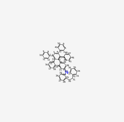 c1ccc(-c2cc(-c3ccccc3)c3c4ccccc4c4cc(N5c6ccccc6CCc6ccccc65)ccc4c3c2-c2ccccc2)cc1